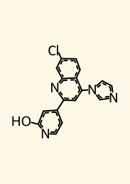 Oc1cc(-c2cc(-n3ccnc3)c3ccc(Cl)cc3n2)ccn1